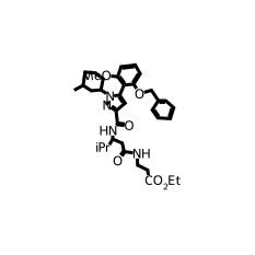 CCOC(=O)CCNC(=O)CC(NC(=O)c1cc(-c2c(OC)cccc2OCc2ccccc2)n(C2CCCC(C)C2)n1)C(C)C